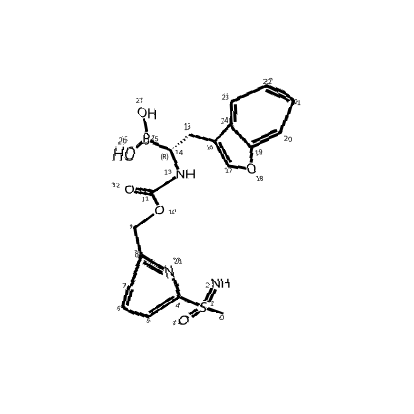 CS(=N)(=O)c1cccc(COC(=O)N[C@@H](Cc2coc3ccccc23)B(O)O)n1